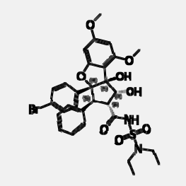 CCN(CC)S(=O)(=O)NC(=O)[C@H]1[C@@H](O)[C@@]2(O)c3c(OC)cc(OC)cc3O[C@@]2(c2ccc(Br)cc2)[C@@H]1c1ccccc1